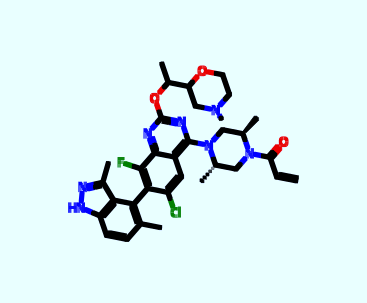 C=CC(=O)N1C[C@H](C)N(c2nc(OC(C)C3CN(C)CCO3)nc3c(F)c(-c4c(C)ccc5[nH]nc(C)c45)c(Cl)cc23)C[C@H]1C